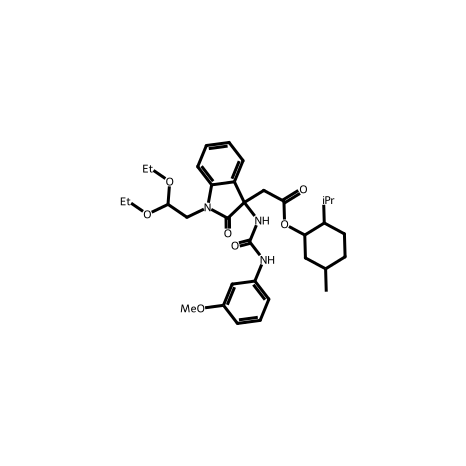 CCOC(CN1C(=O)C(CC(=O)OC2CC(C)CCC2C(C)C)(NC(=O)Nc2cccc(OC)c2)c2ccccc21)OCC